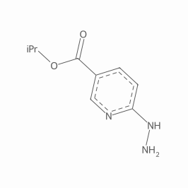 CC(C)OC(=O)c1ccc(NN)nc1